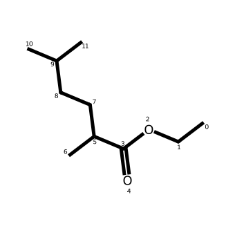 CCOC(=O)C(C)CCC(C)C